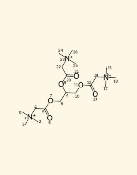 C[N+](C)(C)CC(=O)OCC(COC(=O)C[N+](C)(C)C)OC(=O)C[N+](C)(C)C